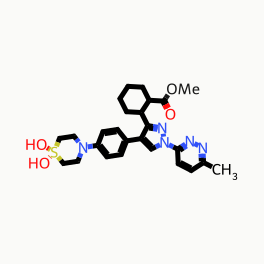 COC(=O)C1CCCCC1c1nn(-c2ccc(C)nn2)cc1-c1ccc(N2CCS(O)(O)CC2)cc1